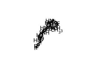 CN[C@@H](C)C(=O)N[C@H]1CN(C(=O)Nc2ccc(NC(=O)N3CCC(=O)N4[C@H](CC[C@H]4C(=O)N[C@H]4C[C@@H]4c4ccc(C(F)(F)F)cc4)CC3)cc2)CC[C@H]2CC[C@@H](C(=O)N[C@H]3C[C@@H]3c3ccc(C(F)(F)F)cc3)N2C1=O